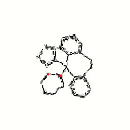 c1ccc2c(c1)CCc1ccccc1C2(c1nnn[nH]1)N1CC2CCC1CC2